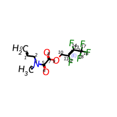 C=CCN(C)C(=O)C(=O)OC/C(F)=C(\F)C(F)(F)F